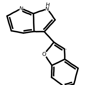 [c]1c(-c2c[nH]c3ncccc23)oc2ccccc12